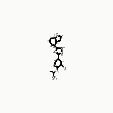 CC(Oc1ncc(-c2nc(-c3cccc4[nH]ccc34)no2)cc1Cl)C(F)(F)F